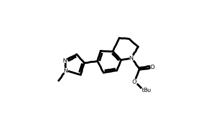 Cn1cc(-c2ccc3c(c2)CCCN3C(=O)OC(C)(C)C)cn1